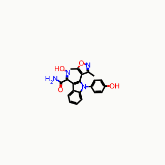 Cc1noc(C)c1-c1c(/C(=N/O)C(N)=O)c2ccccc2n1-c1ccc(O)cc1